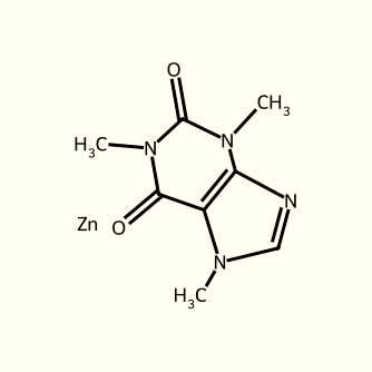 Cn1c(=O)c2c(ncn2C)n(C)c1=O.[Zn]